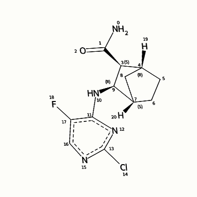 NC(=O)[C@H]1[C@@H]2CC[C@@H](C2)[C@H]1Nc1nc(Cl)ncc1F